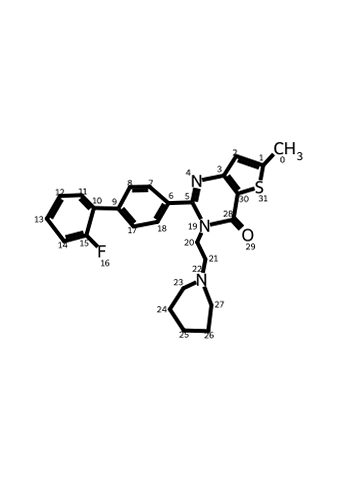 Cc1cc2nc(-c3ccc(-c4ccccc4F)cc3)n(CCN3CCCCC3)c(=O)c2s1